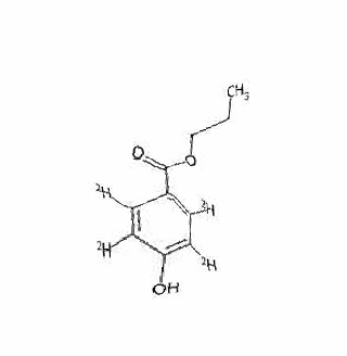 [2H]c1c([2H])c(C(=O)OCCC)c([2H])c([2H])c1O